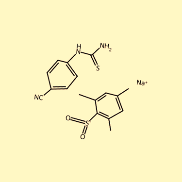 Cc1cc(C)c([S-](=O)=O)c(C)c1.N#Cc1ccc(NC(N)=S)cc1.[Na+]